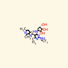 Cc1cc2sc(-c3c(C)nc(NCC(F)(F)F)nc3N[C@@H]3C[C@H](CO)[C@@H](O)[C@H]3O)nc2c(C)n1